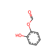 O=COc1ccccc1O